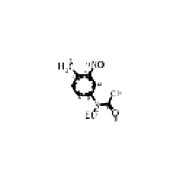 CCN(C(=O)Cl)c1ccc(C)c(N=O)c1